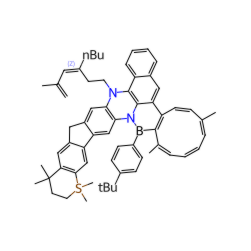 C=C(C)/C=C(/CCCC)CCN1c2cc3c(cc2N2B(c4ccc(C(C)(C)C)cc4)c4c(C)ccccc(C)ccc4-c4cc5ccccc5c1c42)-c1cc2c(cc1C3)C(C)(C)CCS2(C)C